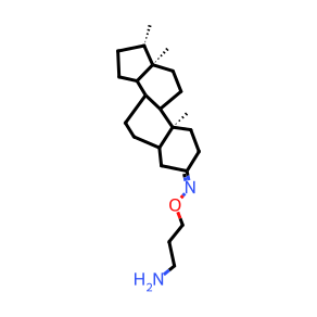 C[C@H]1CCC2C3CCC4CC(=NOCCCN)CC[C@]4(C)C3CC[C@@]21C